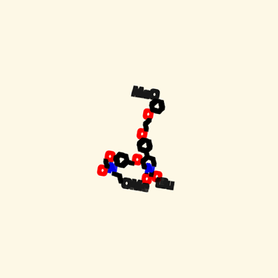 COCCCN1C(=O)COc2ccc(COC3CN(C(=O)OC(C)(C)C)CCC3c3ccc(OCCCOc4cccc(OC)c4)cc3)cc21